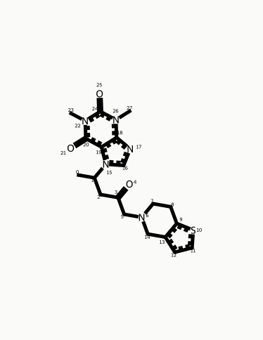 CC(CC(=O)CN1CCc2sccc2C1)n1cnc2c1c(=O)n(C)c(=O)n2C